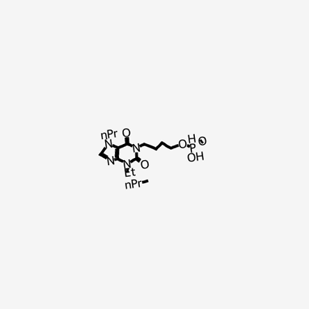 CCCC.CCCn1cnc2c1c(=O)n(CCCCO[PH](=O)O)c(=O)n2CC